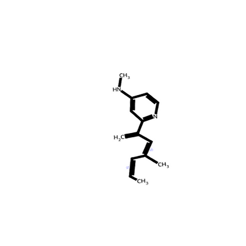 C=C(/C=C(C)\C=C/C)c1cc(NC)ccn1